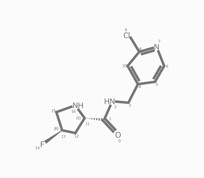 O=C(NCc1ccnc(Cl)c1)[C@@H]1C[C@@H](F)CN1